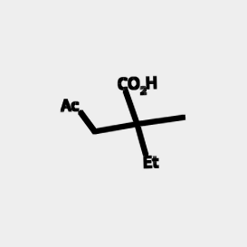 CCC(C)(CC(C)=O)C(=O)O